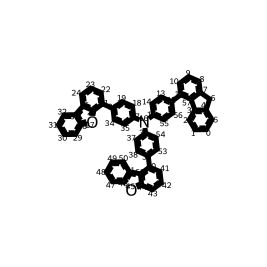 c1ccc2c(c1)Cc1cccc(-c3ccc(N(c4ccc(-c5cccc6c5oc5ccccc56)cc4)c4ccc(-c5cccc6oc7ccccc7c56)cc4)cc3)c1-2